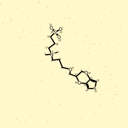 C[N+](C)(CCCOCC1COc2cscc2O1)CCCS(=O)(=O)[O-]